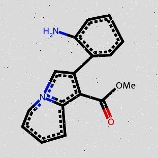 COC(=O)c1c(-c2ccccc2N)cn2ccccc12